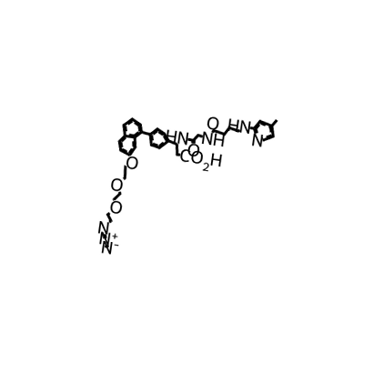 Cc1ccnc(NCCCC(=O)NCC(=O)NC(CC(=O)O)c2ccc(-c3cccc4ccc(OCCOCCOCCN=[N+]=[N-])cc34)cc2)c1